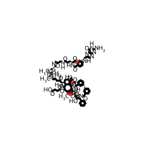 CC(=O)O[C@@]12CO[C@@H]1C[C@H](CC(=O)C/C=C/[Si](C)(C)O[Si](C)(C)CSc1ncc(CNC(=O)CC[C@H](NC(=O)c3ccc(NCc4cnc5nc(N)[nH]c(=O)c5n4)cc3)C(=O)O)o1)[C@@]1(C)C(=O)[C@H](OC(=O)CCC(=O)O)C3=C(C)[C@@H](OC(=O)[C@H](O)[C@@H](NC(=O)c4ccccc4)c4ccccc4)C[C@@](O)([C@@H](OC(=O)c4ccccc4)[C@H]21)C3(C)C